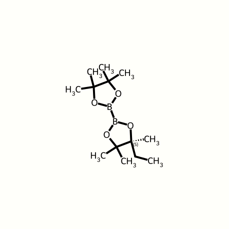 CC[C@]1(C)OB(B2OC(C)(C)C(C)(C)O2)OC1(C)C